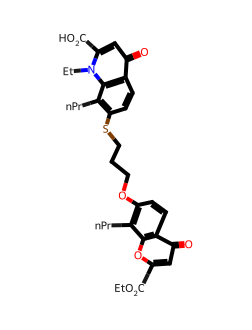 CCCc1c(OCCCSc2ccc3c(=O)cc(C(=O)O)n(CC)c3c2CCC)ccc2c(=O)cc(C(=O)OCC)oc12